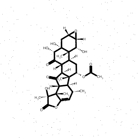 CC(=O)O[C@H]1C[C@H]2[C@@H](C(=O)[C@H](O)[C@@]3(O)C[C@@H]4O[C@@H]4[C@H](O)[C@]23C)[C@@H]2C(=O)[C@@H]3[C@H]([C@H](C)C=C4OC(=O)[C@@](C)(O)[C@@]43C)[C@@]12C